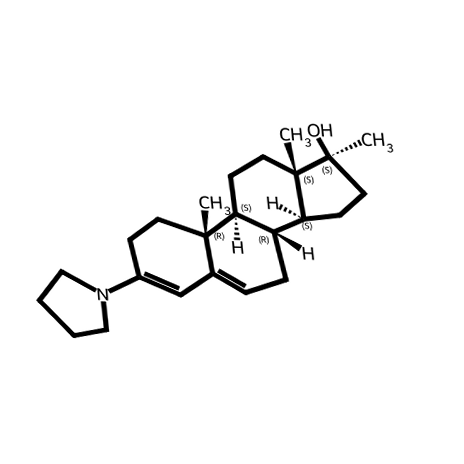 C[C@]12CCC(N3CCCC3)=CC1=CC[C@@H]1[C@@H]2CC[C@@]2(C)[C@H]1CC[C@]2(C)O